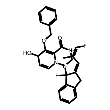 CC(=C/F)/C=C1/Cc2ccccc2C1(F)N1CNC(=O)C2=C(OCc3ccccc3)C(O)C=CN21